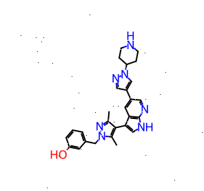 Cc1nn(Cc2cccc(O)c2)c(C)c1-c1c[nH]c2ncc(-c3cnn(C4CCNCC4)c3)cc12